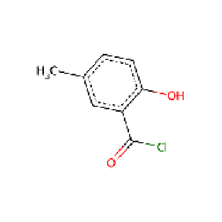 Cc1ccc(O)c(C(=O)Cl)c1